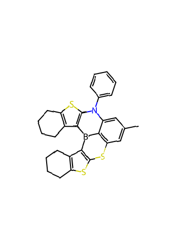 Cc1cc2c3c(c1)N(c1ccccc1)c1sc4c(c1B3c1c(sc3c1CCCC3)S2)CCCC4